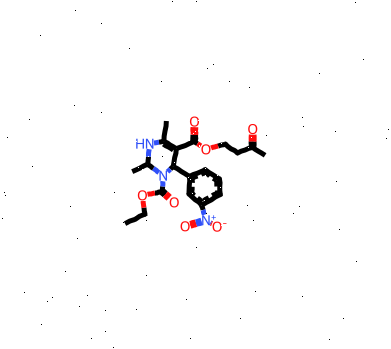 CCOC(=O)N1C(C)NC(C)=C(C(=O)OCCC(C)=O)C1c1cccc([N+](=O)[O-])c1